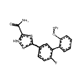 CCCOc1ccccc1-c1cc(-c2n[nH]c(C(N)=O)n2)ccc1F